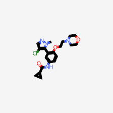 Cn1ncc(Cl)c1-c1cc(NC(=O)C2CC2)ccc1OCCN1CCOCC1